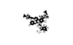 Cn1nc(NS(=O)(=O)CC2CC2)c2c(Cl)ccc(-c3ccc(C#CC(C)(C)S(=O)(=O)C4CC4)nc3[C@H](Cc3cc(F)cc(F)c3)NC(=O)Cn3nc(C(F)(F)F)c4c3C(F)(F)[C@@H]3C[C@H]43)c21